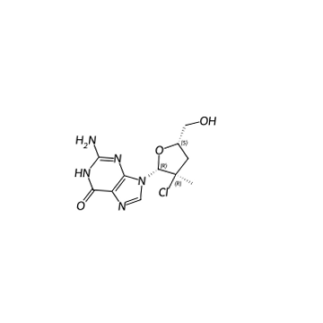 C[C@@]1(Cl)C[C@@H](CO)O[C@H]1n1cnc2c(=O)[nH]c(N)nc21